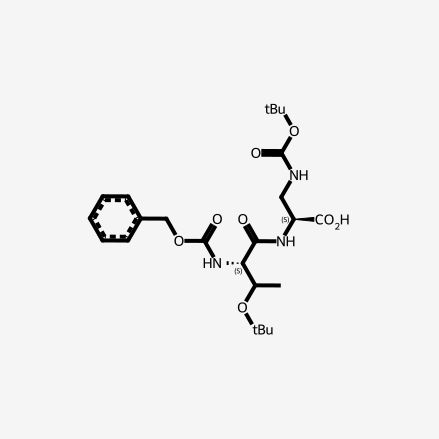 CC(OC(C)(C)C)[C@H](NC(=O)OCc1ccccc1)C(=O)N[C@@H](CNC(=O)OC(C)(C)C)C(=O)O